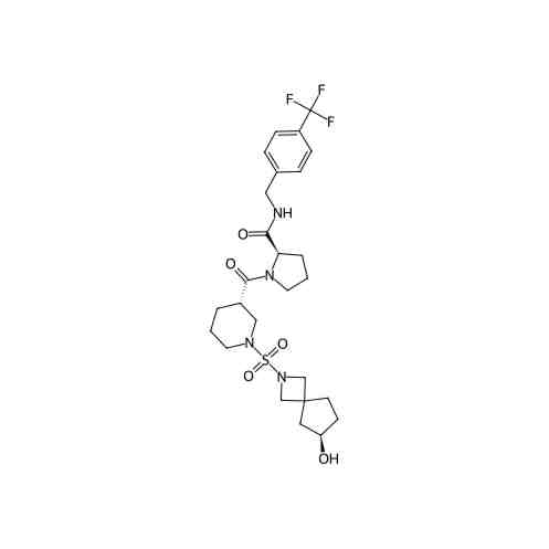 O=C(NCc1ccc(C(F)(F)F)cc1)[C@H]1CCCN1C(=O)[C@H]1CCCN(S(=O)(=O)N2CC3(CC[C@@H](O)C3)C2)C1